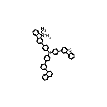 CC1(C)c2ccccc2-c2ccc(-c3ccc(N(c4ccc(-c5cccc(-c6cccc7ccccc67)c5)cc4)c4ccc(-c5ccc6sc7ccccc7c6c5)cc4)cc3)cc21